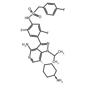 CC(C)n1nc(-c2cc(F)c(NS(=O)(=O)Cc3ccc(F)cc3)cc2F)c2c(N)ncc([C@H]3CC[C@H](N)CC3)c21